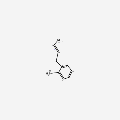 N/C=C/Cc1ccccc1N